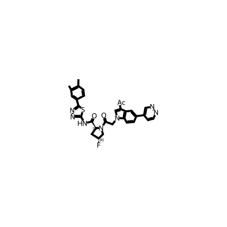 CC(=O)c1cn(CC(=O)N2C[C@H](F)C[C@H]2C(=O)Nc2nnc(-c3ccc(C)c(C)c3)s2)c2ccc(-c3ccnnc3)cc12